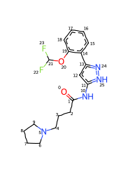 O=C(CCCN1CCCC1)Nc1cc(-c2ccccc2OC(F)F)n[nH]1